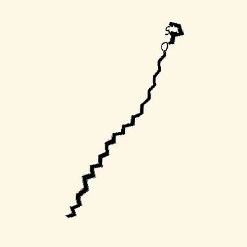 CCCCCCCCCCCCCCCCCCCCCCCCCCCCOCc1cccs1